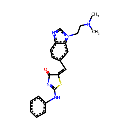 CN(C)CCn1cnc2ccc(C=C3SC(Nc4ccccc4)=NC3=O)cc21